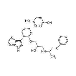 CC(COc1ccccc1)NCC(O)COc1ccccc1-c1n[nH]c2ccsc12.O=C(O)/C=C\C(=O)O